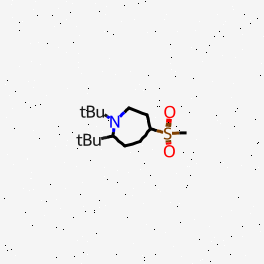 CC(C)(C)C1CCC(S(C)(=O)=O)CCN1C(C)(C)C